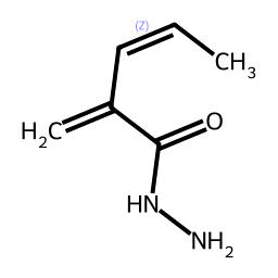 C=C(/C=C\C)C(=O)NN